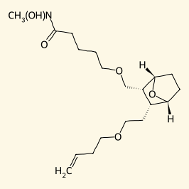 C=CCCOCC[C@@H]1[C@H](COCCCCC(=O)N(C)O)[C@@H]2CC[C@H]1O2